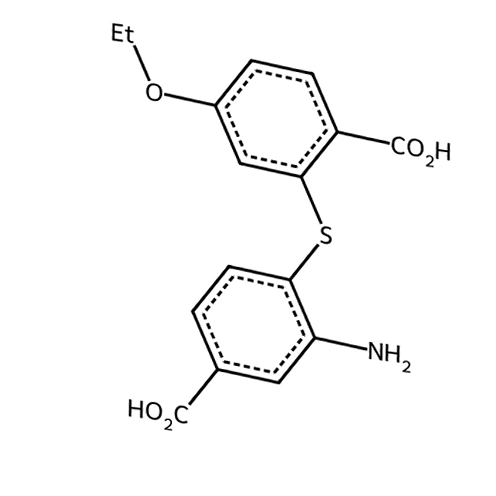 CCOc1ccc(C(=O)O)c(Sc2ccc(C(=O)O)cc2N)c1